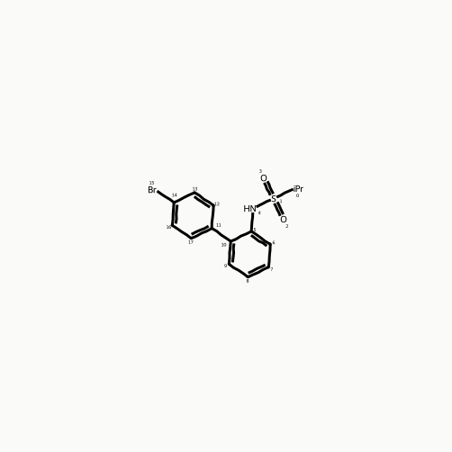 CC(C)S(=O)(=O)Nc1ccccc1-c1ccc(Br)cc1